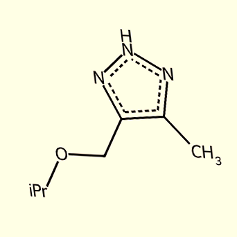 Cc1n[nH]nc1COC(C)C